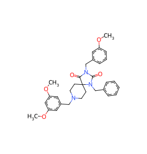 COc1cccc(CN2C(=O)N(Cc3ccccc3)C3(CCN(Cc4cc(OC)cc(OC)c4)CC3)C2=O)c1